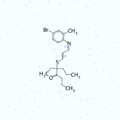 CCCC(=O)C(CC)(CCC)S/C=C/C=N\c1ccc(Br)cc1C